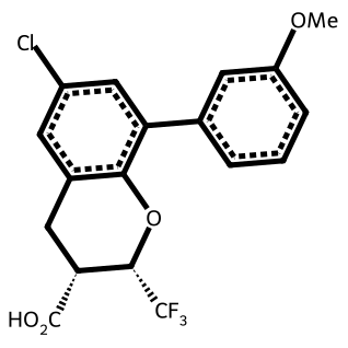 COc1cccc(-c2cc(Cl)cc3c2O[C@H](C(F)(F)F)[C@H](C(=O)O)C3)c1